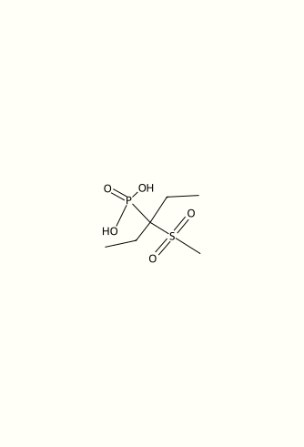 CCC(CC)(P(=O)(O)O)S(C)(=O)=O